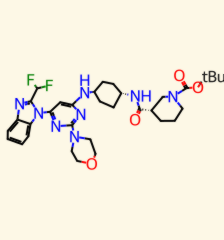 CC(C)(C)OC(=O)N1CCC[C@H](C(=O)N[C@H]2CC[C@H](Nc3cc(-n4c(C(F)F)nc5ccccc54)nc(N4CCOCC4)n3)CC2)C1